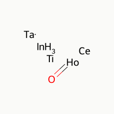 [Ce].[InH3].[O]=[Ho].[Ta].[Ti]